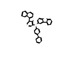 c1ccc(-c2ccc(N(c3ccc4oc5ccccc5c4c3)c3cncc4c3oc3ccc5ccccc5c34)cc2)cc1